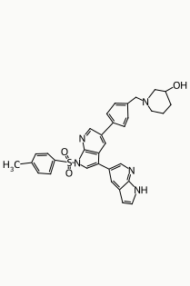 Cc1ccc(S(=O)(=O)n2cc(-c3cnc4[nH]ccc4c3)c3cc(-c4ccc(CN5CCCC(O)C5)cc4)cnc32)cc1